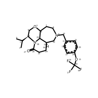 CC(C)[C@H]1COC2CCN(Cc3ccc(OC(F)(F)F)cc3)C[C@H]3CCC(=O)N1C23